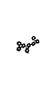 C1=CC2C3=C(CC(N4C5C=CC=CC5C5C=C(C6CC=C7C8=C(CCC=C8)N(C8=CCCCC8)C7C6)C=CC54)C=C3)c3ccccc3C2C=C1